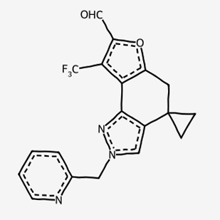 O=Cc1oc2c(c1C(F)(F)F)-c1nn(Cc3ccccn3)cc1C1(CC1)C2